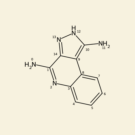 Nc1nc2ccccc2c2c(N)[nH]nc12